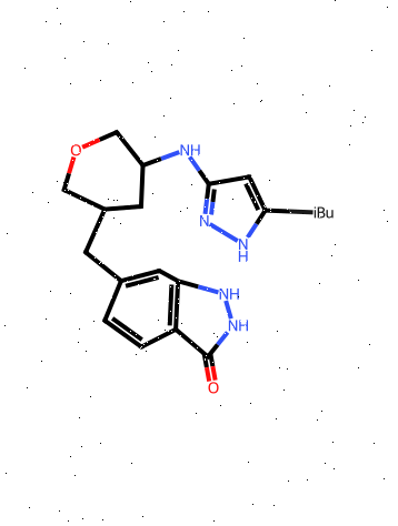 CCC(C)c1cc(NC2COCC(Cc3ccc4c(=O)[nH][nH]c4c3)C2)n[nH]1